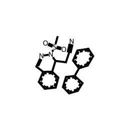 CS(=O)(=O)N1N=Cc2ccccc2C1CC#N.c1ccc(-c2ccccc2)cc1